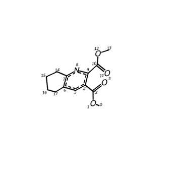 COC(=O)c1cc2c(nc1C(=O)OC)CCCC2